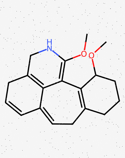 COC1=C2C3=C(CC=CC3=CCC3=C2C(OC)CCC3)CN1